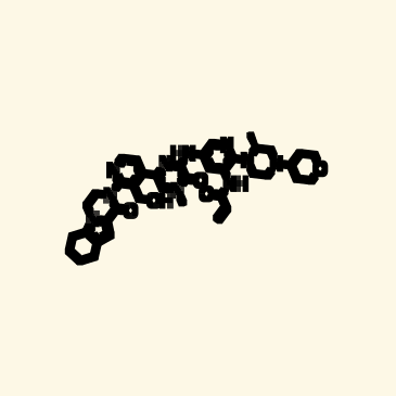 C=CC(=O)Nc1cc(Nc2nc(-c3ccnc(N4CCn5c(cc6c5CCCC6)C4=O)c3CO)cn(C)c2=O)cnc1N1CCN(C2CCOCC2)C[C@@H]1C